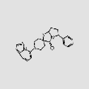 O=C1N2C(CCC2c2ccccc2)SC12CCN(c1ccnc3ccnn13)CC2